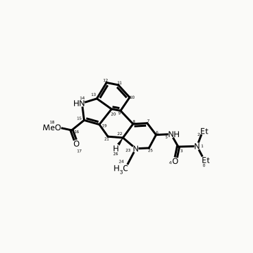 CCN(CC)C(=O)NC1C=C2c3cccc4[nH]c(C(=O)OC)c(c34)C[C@H]2N(C)C1